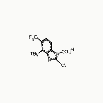 CC(C)(C)c1c(C(F)(F)F)ccc2c1nc(Cl)n2C(=O)O